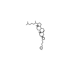 COCCCCO[C@H]1CC[C@@]2(C)C(=CCC3C4CCC(C(C)CCCC(C)C)[C@@]4(C)CCC32)C1